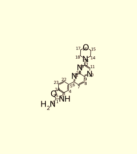 NC1Nc2cc(-c3ccc4ncc(N5CCOCC5)nc4n3)ccc2O1